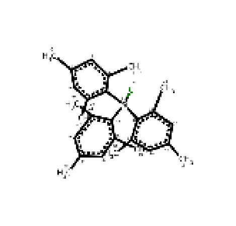 Cc1cc(C)c([Si](Cl)(c2c(C)cc(C)cc2C)c2c(C)cc(C)cc2C)c(C)c1